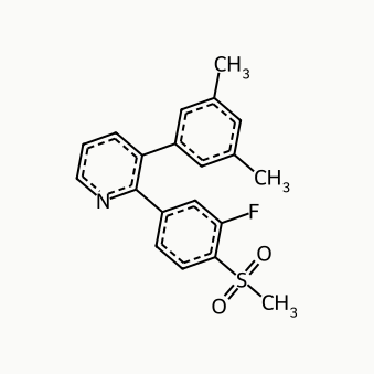 Cc1cc(C)cc(-c2cccnc2-c2ccc(S(C)(=O)=O)c(F)c2)c1